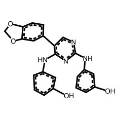 Oc1cccc(Nc2ncc(-c3ccc4c(c3)OCO4)c(Nc3cccc(O)c3)n2)c1